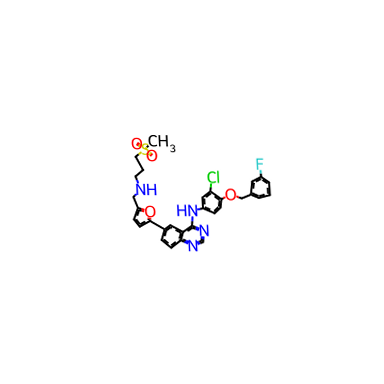 CS(=O)(=O)CCCNCc1ccc(-c2ccc3ncnc(Nc4ccc(OCc5cccc(F)c5)c(Cl)c4)c3c2)o1